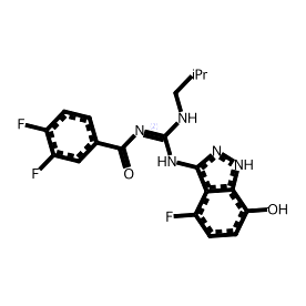 CC(C)CN/C(=N/C(=O)c1ccc(F)c(F)c1)Nc1n[nH]c2c(O)ccc(F)c12